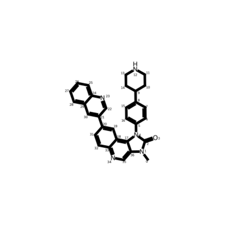 Cn1c(=O)n(-c2ccc(C3CCNCC3)cc2)c2c3cc(-c4cnc5ccccc5c4)ccc3ncc21